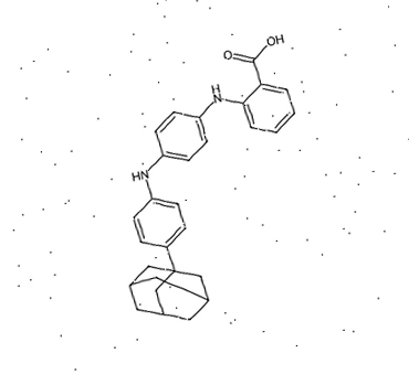 O=C(O)c1ccccc1Nc1ccc(Nc2ccc(C34CC5CC(CC(C5)C3)C4)cc2)cc1